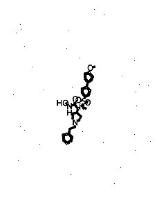 COc1ccc(-c2ccc(S(=O)(=O)N(C)C(C(=O)NO)C3CCN(CCc4ccccc4)CC3)cc2)cc1